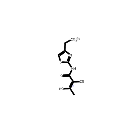 CCOC(=O)Cc1csc(NC(=O)/C(C#N)=C(/C)O)n1